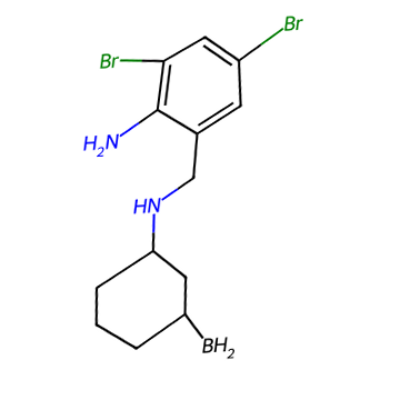 BC1CCCC(NCc2cc(Br)cc(Br)c2N)C1